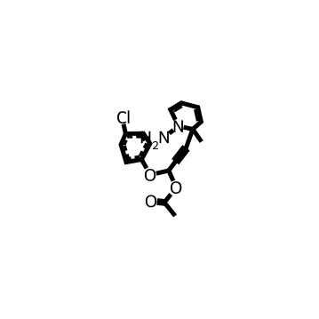 CC(=O)OC(C#CC1(C)C=CC=CN1N)Oc1ccc(Cl)cc1